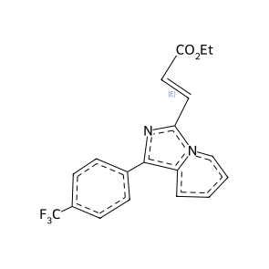 CCOC(=O)/C=C/c1nc(-c2ccc(C(F)(F)F)cc2)c2ccccn12